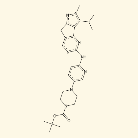 CC(C)c1c2c(nn1C)Cc1cnc(Nc3ccc(N4CCN(C(=O)OC(C)(C)C)CC4)cn3)nc1-2